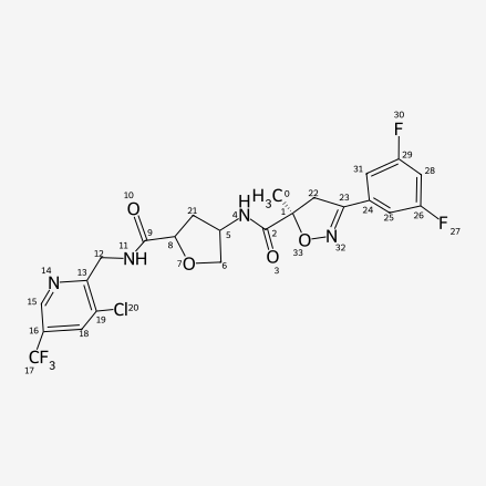 C[C@]1(C(=O)NC2COC(C(=O)NCc3ncc(C(F)(F)F)cc3Cl)C2)CC(c2cc(F)cc(F)c2)=NO1